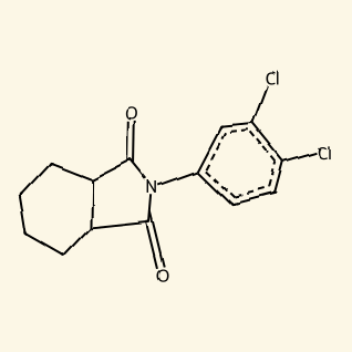 O=C1C2CCCCC2C(=O)N1c1ccc(Cl)c(Cl)c1